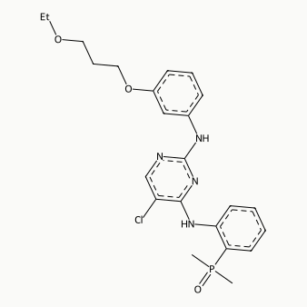 CCOCCCOc1cccc(Nc2ncc(Cl)c(Nc3ccccc3P(C)(C)=O)n2)c1